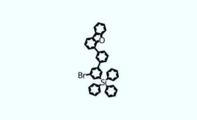 Brc1cc(-c2cccc(-c3cccc4c3oc3ccccc34)c2)cc([Si](c2ccccc2)(c2ccccc2)c2ccccc2)c1